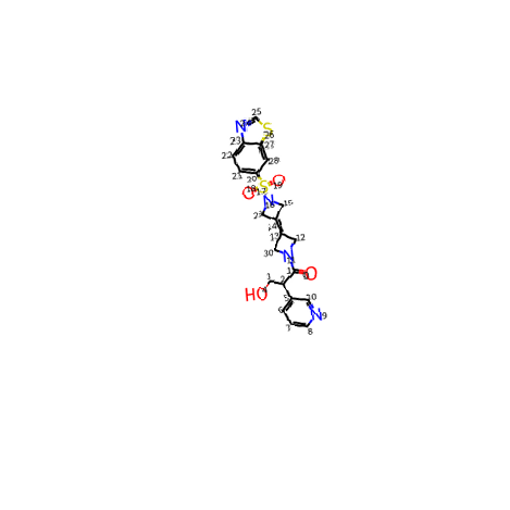 O=C(C(CO)c1cccnc1)N1CC(=C2CN(S(=O)(=O)c3ccc4ncsc4c3)C2)C1